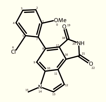 COc1cccc(Cl)c1-c1cc2c(ccn2C)c2c1C(=O)NC2=O